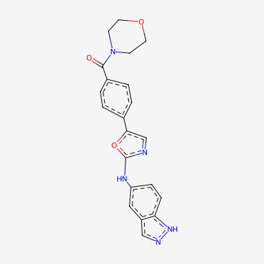 O=C(c1ccc(-c2cnc(Nc3ccc4[nH]ncc4c3)o2)cc1)N1CCOCC1